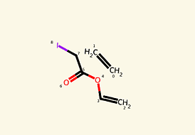 C=C.C=COC(=O)CI